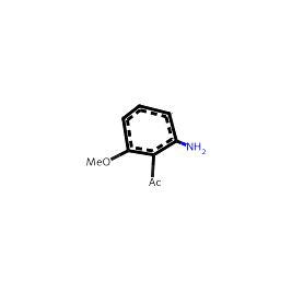 COc1cc[c]c(N)c1C(C)=O